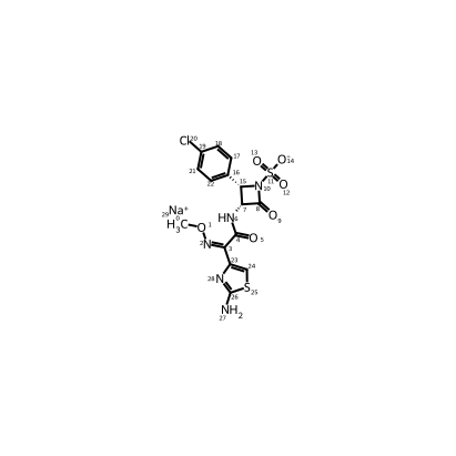 CON=C(C(=O)N[C@H]1C(=O)N(S(=O)(=O)[O-])[C@H]1c1ccc(Cl)cc1)c1csc(N)n1.[Na+]